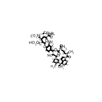 COC(=O)[C@H]1O[C@@H](Oc2ccc(COC(=O)N(C)CCN(C)C(=O)n3ccc4c(N(C)[C@H]5CN(C(=O)CC#N)CC[C@H]5C)ncnc43)cc2N)[C@H](CC(=O)O)[C@@H](CC(=O)O)[C@@H]1CC(=O)O